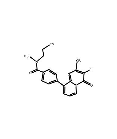 CN(CCC#N)C(=O)c1ccc(-c2cccn3c(=O)c(Cl)c(C(F)(F)F)nc23)cc1